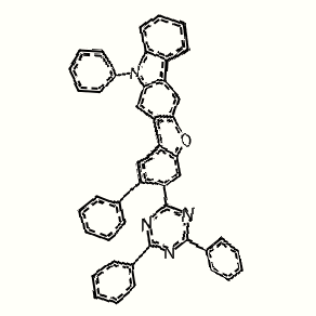 c1ccc(-c2nc(-c3ccccc3)nc(-c3cc4oc5cc6c7ccccc7n(-c7ccccc7)c6cc5c4cc3-c3ccccc3)n2)cc1